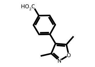 Cc1noc(C)c1-c1ccc(C(=O)O)cc1